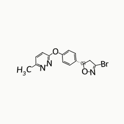 Cc1ccc(Oc2ccc([C@@H]3CC(Br)=NO3)cc2)nn1